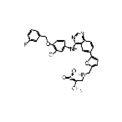 CC(CNCc1ccc(-c2ccc3ncnc(Nc4ccc(OCc5cccc(F)c5)c(Cl)c4)c3c2)o1)=S(=O)=O